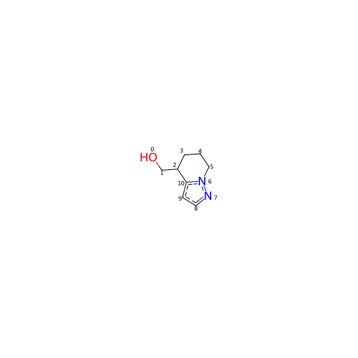 OCC1CCCn2nccc21